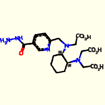 NNC(=O)c1ccc(CN(CC(=O)O)[C@H]2CCCC[C@@H]2N(CC(=O)O)CC(=O)O)nc1